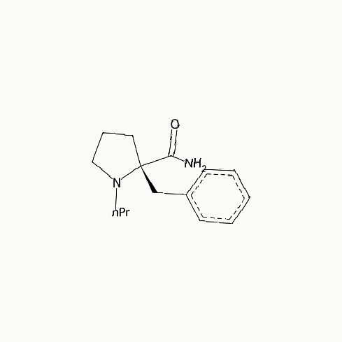 CCCN1CCC[C@]1(Cc1ccccc1)C(N)=O